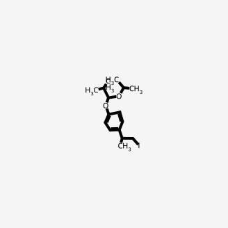 CC(C)OC(Oc1ccc(C(C)CI)cc1)C(C)C